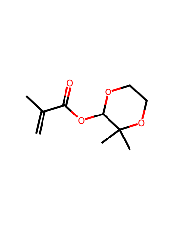 C=C(C)C(=O)OC1OCCOC1(C)C